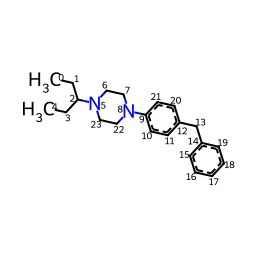 CCC(CC)N1CCN(c2ccc(Cc3ccccc3)cc2)CC1